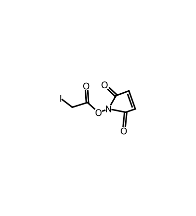 O=C(CI)ON1C(=O)C=CC1=O